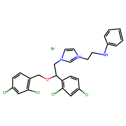 Clc1ccc(COC(Cn2cc[n+](CCNc3ccccc3)c2)c2ccc(Cl)cc2Cl)c(Cl)c1.[Br-]